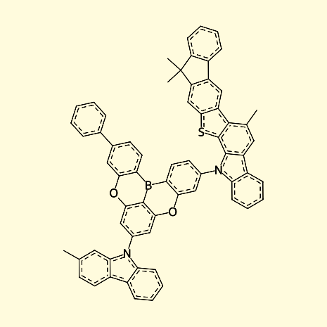 Cc1ccc2c3ccccc3n(-c3cc4c5c(c3)Oc3cc(-n6c7ccccc7c7cc(C)c8c9cc%10c(cc9sc8c76)C(C)(C)c6ccccc6-%10)ccc3B5c3ccc(-c5ccccc5)cc3O4)c2c1